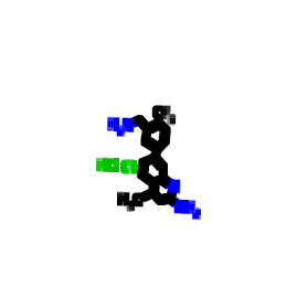 Cc1cc(N)nc2cc(-c3ccc(C(F)(F)F)c(CN)c3)ccc12.Cl.Cl